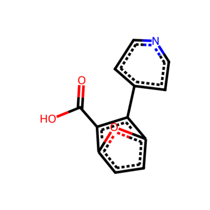 O=C(O)c1c(-c2ccncc2)c2ccc1o2